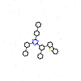 c1ccc(-c2ccc(-c3nc(-c4cccc(-c5ccccc5)c4)nc(-c4cc(-c5ccccc5)cc(-c5cccc6c5sc5ccccc56)c4)n3)cc2)cc1